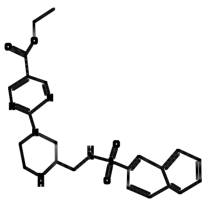 CCOC(=O)c1cnc(N2CCNC(CNS(=O)(=O)c3ccc4ccccc4c3)C2)nc1